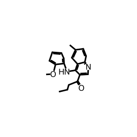 CCCC(=O)c1cnc2ccc(C)cc2c1Nc1ccccc1OC